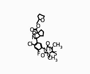 Cn1c(=S)n(C)c(=O)n(-c2cc(C3=NOC4(C(=O)OCC5CCCO5)CCCC34)c(Cl)cc2F)c1=O